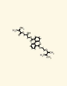 C=C(C)C(=C)OCCOC(=O)c1ccccc1-c1ccccc1C(=O)OCC(O)COC(=O)C(=C)C